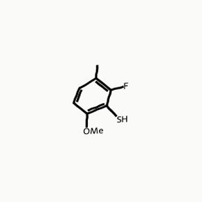 COc1ccc(C)c(F)c1S